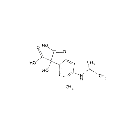 Cc1cc(C(O)(C(=O)O)C(=O)O)ccc1NC(C)C